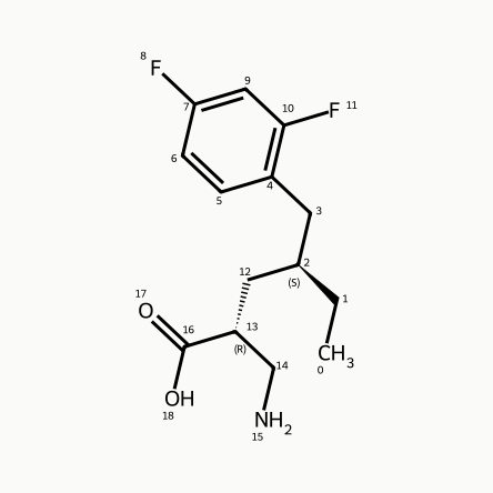 CC[C@H](Cc1ccc(F)cc1F)C[C@H](CN)C(=O)O